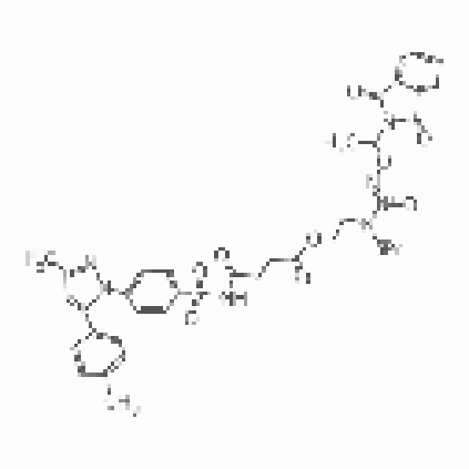 Cc1ccc(-c2cc(C(F)(F)F)nn2-c2ccc(S(=O)(=O)NC(=O)CCC(=O)OCCN(C(C)C)/[N+]([O-])=N/OC(C)N3C(=O)c4ccccc4C3=O)cc2)cc1